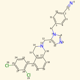 N#Cc1ccc(Cn2cncc2CN2CCc3c(cccc3-c3ccc(Cl)cc3Cl)C2)cc1